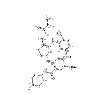 COc1cc(C(=O)NC2CCN(C)CC2)c(F)cc1Nc1ncc(C(F)(F)F)c(N[C@@H]2CCCC[C@H]2NCC(=O)N(C)OC)n1